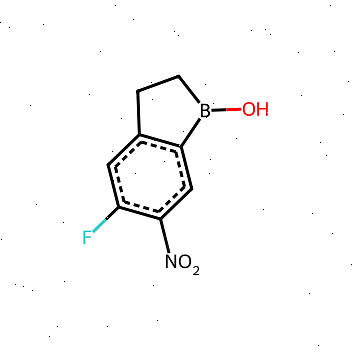 O=[N+]([O-])c1cc2c(cc1F)CCB2O